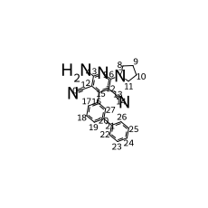 N#Cc1c(N)nc(N2CCCC2)c(C#N)c1-c1cccc(-c2ccccc2)c1